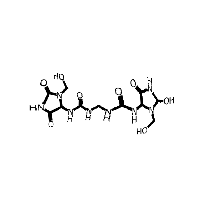 O=C(NCNC(=O)NC1C(=O)NC(O)N1CO)NC1C(=O)NC(=O)N1CO